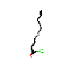 C=CCCCCCCCC(=O)Cl